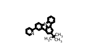 CC(C)(C)c1cc2c3ccccc3n3c4ccc(-c5ccccn5)cc4c(c1)c23